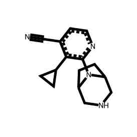 N#Cc1ccnc(N2C3CCC2CNC3)c1C1CC1